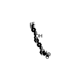 O=[N+]([O-])c1cn2c(n1)O[C@@H](COc1ccc(N3CCN(CC(O)COc4ccc(OC(F)(F)F)cc4)CC3)cc1)CC2